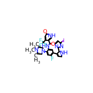 C[C@@H]1CN(c2cc(F)c(C3=CCNC3c3nccc(I)n3)cc2NC(=O)c2c[nH]c(=O)cc2C(F)(F)F)C[C@H](C)N1C